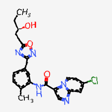 CC[C@@H](O)Cc1nc(-c2ccc(C)c(NC(=O)c3cnc4cc(Cl)ccn34)c2)no1